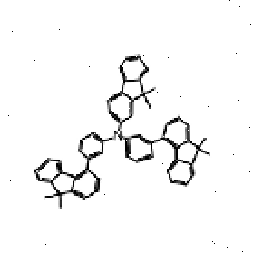 CC1(C)c2ccccc2-c2ccc(N(c3cccc(-c4cccc5c4-c4ccccc4C5(C)C)c3)c3cccc(-c4cccc5c4-c4ccccc4C5(C)C)c3)cc21